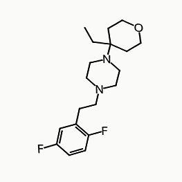 CCC1(N2CCN(CCc3cc(F)ccc3F)CC2)CCOCC1